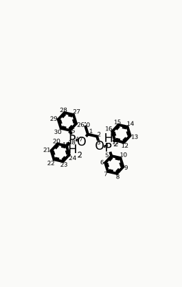 [CH2]C(CO[PH2](c1ccccc1)c1ccccc1)O[PH2](c1ccccc1)c1ccccc1